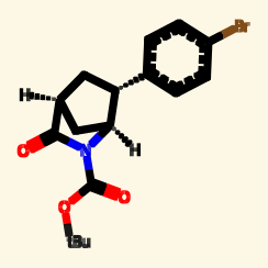 CC(C)(C)OC(=O)N1C(=O)[C@H]2C[C@H](c3ccc(Br)cc3)[C@@H]1C2